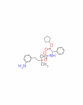 CC(C)(CCc1cccc(N)c1)OC(=O)NC(C(=O)OC1CCCC1)c1ccccc1